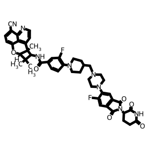 CC1(C)C(NC(=O)c2ccc(N3CCC(CN4CCN(c5cc6c(cc5F)C(=O)N(C5CCC(=O)NC5=O)C6=O)CC4)CC3)c(F)c2)C2(C)c3ccnc4c(C#N)ccc(c34)O[C@@H]12